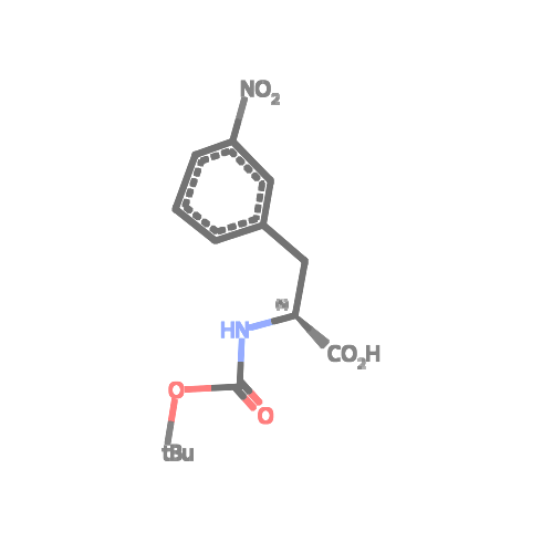 CC(C)(C)OC(=O)N[C@@H](Cc1cccc([N+](=O)[O-])c1)C(=O)O